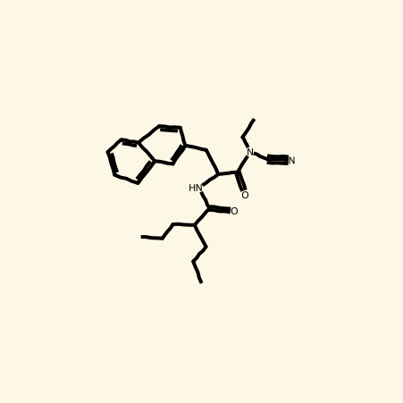 CCCC(CCC)C(=O)NC(Cc1ccc2ccccc2c1)C(=O)N(C#N)CC